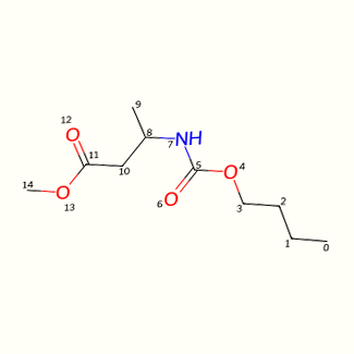 CCCCOC(=O)NC(C)CC(=O)OC